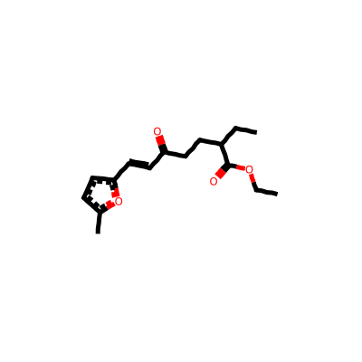 CCOC(=O)C(CC)CCC(=O)C=Cc1ccc(C)o1